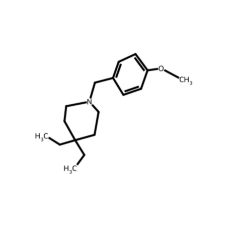 CCC1(CC)CCN(Cc2ccc(OC)cc2)CC1